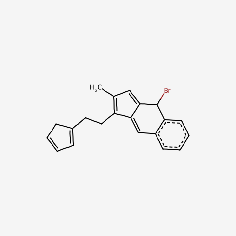 CC1=C(CCC2=CC=CC2)C2=Cc3ccccc3C(Br)C2=C1